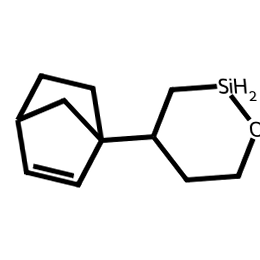 C1=CC2(C3CCO[SiH2]C3)CCC1C2